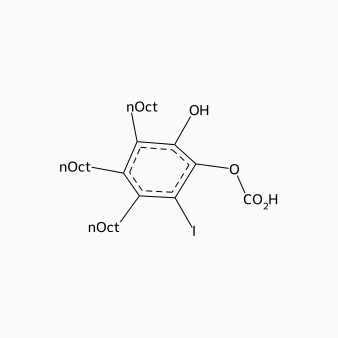 CCCCCCCCc1c(O)c(OC(=O)O)c(I)c(CCCCCCCC)c1CCCCCCCC